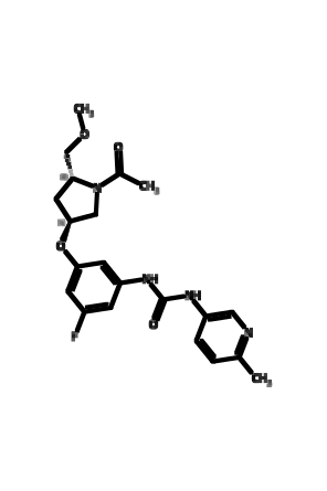 COC[C@H]1C[C@H](Oc2cc(F)cc(NC(=O)Nc3ccc(C)nc3)c2)CN1C(C)=O